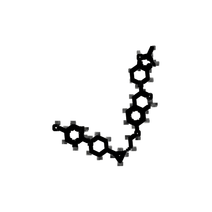 Cc1nc2c(o1)CCN(C(=O)Cc1ccc(OCC[C@@H]3CC3C3CCN(c4ncc(Cl)cn4)CC3)cc1F)C2